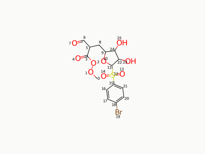 COOC(=O)C(C=O)CC1OC(S(=O)(=O)c2ccc(Br)cc2)C(O)C1O